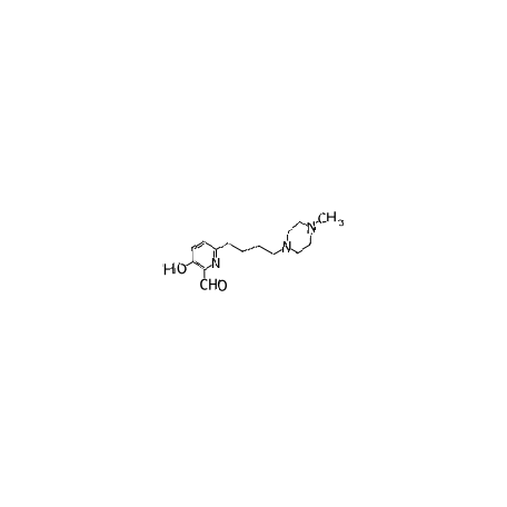 CN1CCN(CCCCc2ccc(O)c(C=O)n2)CC1